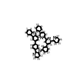 c1ccc(-n2c3ccccc3c3cc(-c4ccc5c6ncccc6n(-c6cccc(-c7cc(-c8ccccn8)nc(-c8ccccn8)c7)c6)c5c4)ccc32)cc1